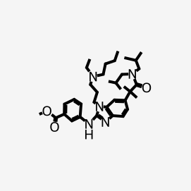 CCCCN(CC)CCCn1c(Nc2cccc(C(=O)OC)c2)nc2ccc(C(C)(C)C(=O)N(CC(C)C)CC(C)C)cc21